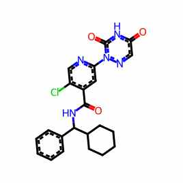 O=C(NC(c1ccccc1)C1CCCCC1)c1cc(-n2ncc(=O)[nH]c2=O)ncc1Cl